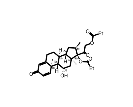 CCC(=O)OCC(=O)[C@@]1(OC(=O)CC)[C@H](C)C[C@H]2[C@@H]3CCC4=CC(=O)C=C[C@]4(C)[C@H]3[C@@H](O)C[C@@]21C